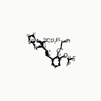 CCOC(=O)c1c(/C=C/c2cccc(OC(F)F)c2OCCC(C)C)nc2sccn12